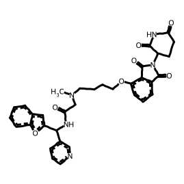 CN(CCCCOc1cccc2c1C(=O)N(C1CCC(=O)NC1=O)C2=O)CC(=O)NC(c1cccnc1)c1cc2ccccc2o1